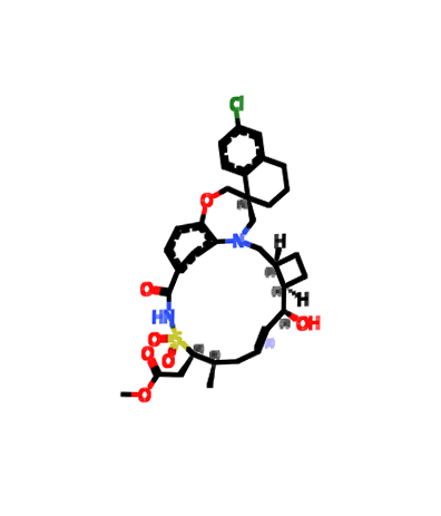 COC(=O)C[C@@H]1[C@H](C)C/C=C/[C@H](O)[C@@H]2CC[C@H]2CN2C[C@@]3(CCCc4cc(Cl)ccc43)COc3ccc(cc32)C(=O)NS1(=O)=O